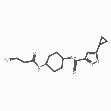 NCCC(=O)N[C@H]1CC[C@@H](NC(=O)c2cc(C3CC3)on2)CC1